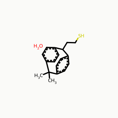 CC1(C)c2ccc(cc2)C(CCS)c2ccc1cc2.O